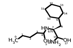 CCCCC(O)N[C@@H](CC1CCCCC1)C(N)O